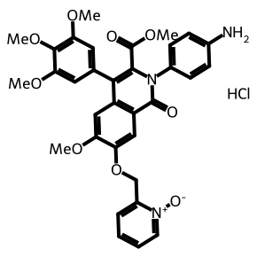 COC(=O)c1c(-c2cc(OC)c(OC)c(OC)c2)c2cc(OC)c(OCc3cccc[n+]3[O-])cc2c(=O)n1-c1ccc(N)cc1.Cl